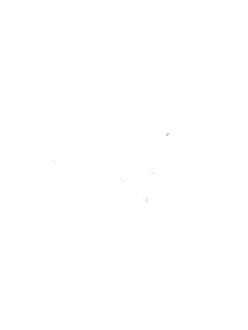 CC[C@H](NC(=O)N(C=N)c1ccc(N)cc1)[C@H](C)O